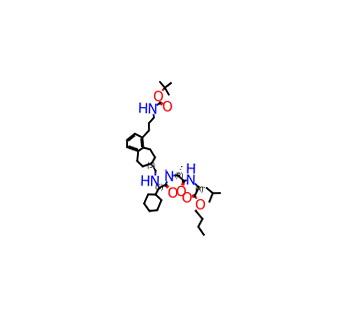 CCCCOC(=O)[C@@H](CC(C)C)NC(=O)[C@@H](C)N(C)C(=O)[C@@H](NC[C@H]1CCc2cccc(CCCNC(=O)OC(C)(C)C)c2CC1)C1CCCCC1